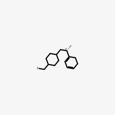 C[C@@H](CC1CCC(CF)CC1)C1=CC=CCC1